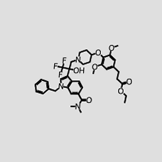 CCOC(=O)CCc1cc(OC)c(OC2CCN(CC(O)(c3cn(Cc4ccccc4)c4cc(C(=O)N(C)C)ccc34)C(F)(F)F)CC2)c(OC)c1